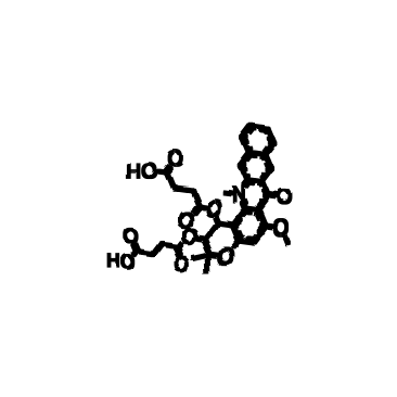 COc1cc2c(c3c1c(=O)c1cc4ccccc4cc1n3C)C(OC(=O)CCC(=O)O)C(OC(=O)CCC(=O)O)C(C)(C)O2